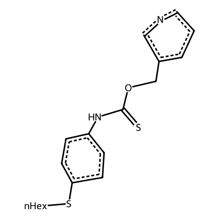 CCCCCCSc1ccc(NC(=S)OCc2cccnc2)cc1